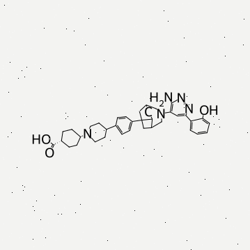 Nc1nnc(-c2ccccc2O)cc1N1CC2CC3C(C1)CC3(c1ccc(C3CCN([C@H]4CC[C@@H](C(=O)O)CC4)CC3)cc1)C2